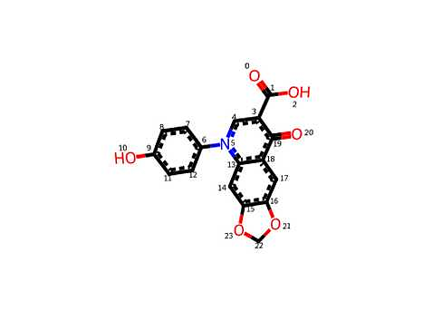 O=C(O)c1cn(-c2ccc(O)cc2)c2cc3c(cc2c1=O)OCO3